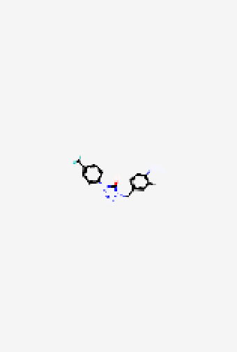 Cc1cc(Cn2nnn(-c3ccc(C(F)F)cc3)c2=O)ccc1N